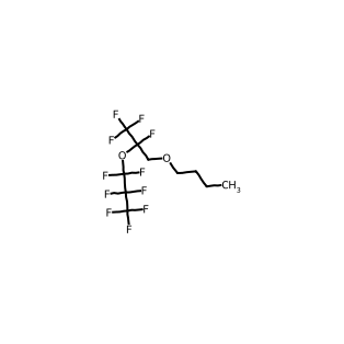 CCCCOCC(F)(OC(F)(F)C(F)(F)C(F)(F)F)C(F)(F)F